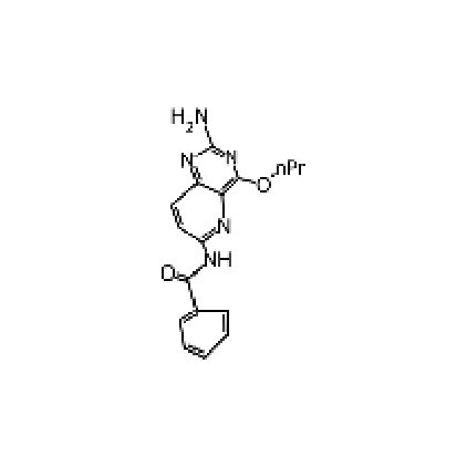 CCCOc1nc(N)nc2ccc(NC(=O)c3ccccc3)nc12